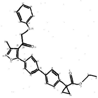 CCOC(=O)C1(c2ccc(-c3ccc(-c4onc(C)c4C(=O)CSc4ccccc4)cc3)cc2)CC1